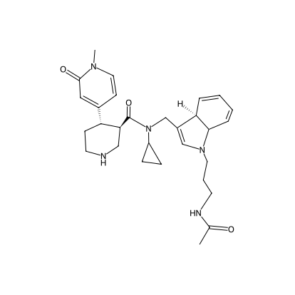 CC(=O)NCCCN1C=C(CN(C(=O)[C@H]2CNCC[C@@H]2c2ccn(C)c(=O)c2)C2CC2)[C@H]2C=CC=CC21